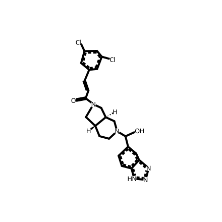 O=C(/C=C/c1cc(Cl)cc(Cl)c1)N1C[C@H]2CCN(C(O)c3ccc4[nH]nnc4c3)C[C@@H]2C1